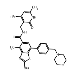 CCCc1cc(C)[nH]c(=O)c1CNC(=O)c1cc(-c2ccc(CN3CCOCC3)cc2)c2sc(C(C)(C)C)nc2c1C